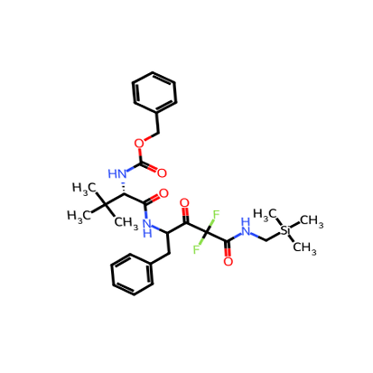 CC(C)(C)[C@H](NC(=O)OCc1ccccc1)C(=O)NC(Cc1ccccc1)C(=O)C(F)(F)C(=O)NC[Si](C)(C)C